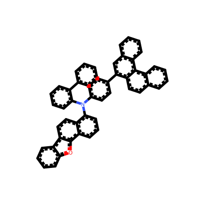 c1ccc(-c2ccccc2N(c2ccc(-c3cc4ccccc4c4c3ccc3ccccc34)cc2)c2cccc3c2ccc2c4ccccc4oc32)cc1